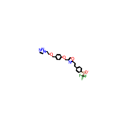 [O-][S+](c1ccc(C=Cc2nc(COc3ccc(COCCn4ccnn4)cc3)co2)cc1)C(F)(F)F